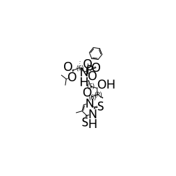 Cc1cn([C@H]2O[C@@H](COP(=O)(N[C@@H](C)C(=O)OC(C)C)Oc3ccccc3)C(O)[C@H]2C)c(=S)[nH]c1=S